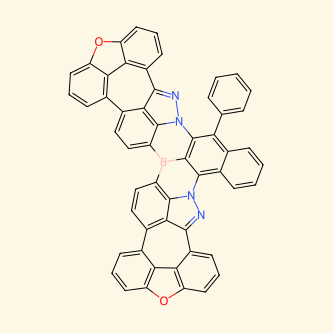 c1ccc(-c2c3c4c(c5ccccc25)-n2nc5c6c(ccc(c62)B4c2ccc4c6c(nn-3c26)-c2cccc3oc6cccc-4c6c23)-c2cccc3oc4cccc-5c4c23)cc1